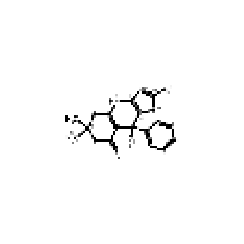 CC[C@@]1(c2ccccc2)C2=C(CC(C)(C)CC2=O)Nc2nc(C)sc21